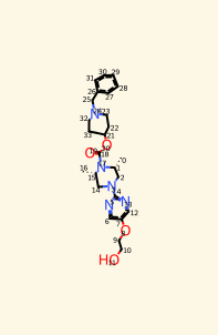 C[C@@H]1CN(c2ncc(OCCO)cn2)C[C@H](C)N1C(=O)OC1CCN(Cc2ccccc2)CC1